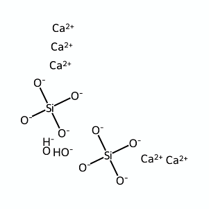 [Ca+2].[Ca+2].[Ca+2].[Ca+2].[Ca+2].[O-][Si]([O-])([O-])[O-].[O-][Si]([O-])([O-])[O-].[OH-].[OH-]